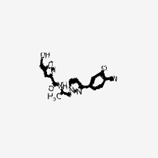 CC(Cn1ccc(-c2ccc(C#N)c(Cl)c2)n1)NC(=O)c1cc(CO)on1